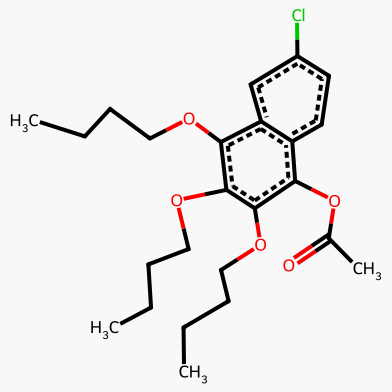 CCCCOc1c(OCCCC)c(OC(C)=O)c2ccc(Cl)cc2c1OCCCC